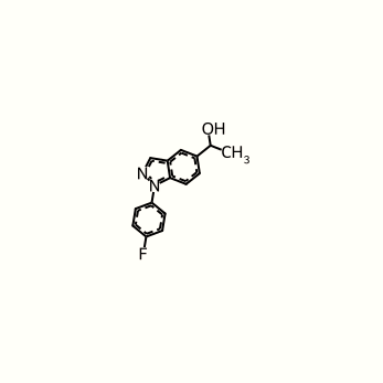 CC(O)c1ccc2c(cnn2-c2ccc(F)cc2)c1